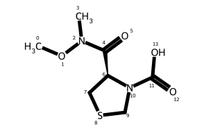 CON(C)C(=O)[C@@H]1CSCN1C(=O)O